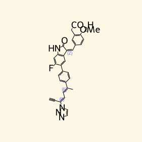 C#C/C(=C\C=C(/C)c1ccc(-c2cc3c(cc2F)NC(=O)/C3=C\c2ccc(OC)c(CC(=O)O)c2)cc1)n1ccnn1